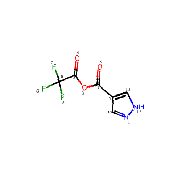 O=C(OC(=O)C(F)(F)F)c1cn[nH]c1